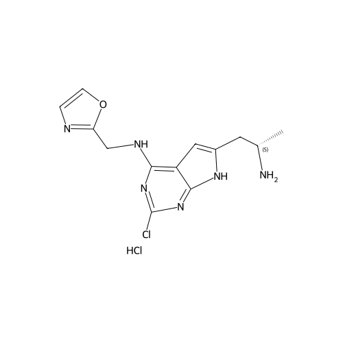 C[C@H](N)Cc1cc2c(NCc3ncco3)nc(Cl)nc2[nH]1.Cl